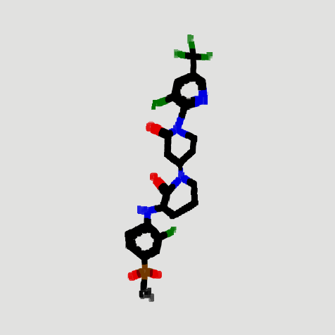 CS(=O)(=O)c1ccc(NC2CCCN([C@H]3CCN(c4ncc(C(F)(F)F)cc4F)C(=O)C3)C2=O)c(F)c1